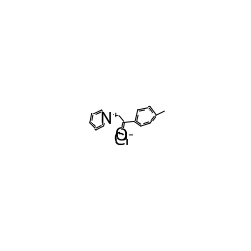 Cc1ccc(C(=O)C[n+]2ccccc2)cc1.[Cl-]